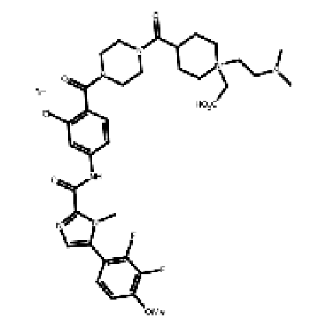 COc1ccc(-c2cnc(C(=O)Nc3ccc(C(=O)N4CCN(C(=O)C5CC[N+](CCN(C)C)(CC(=O)O)CC5)CC4)c(Cl)c3)n2C)c(F)c1F.[Br-]